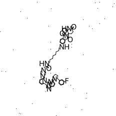 O=C(CN1CCN(c2cccc(-c3cnc4ccc(N5CCCC5c5cccc(F)c5)nn34)n2)CC1)NCCCCCCCCNc1ccc2c(c1)C(=O)N(C1CCC(=O)NC1=O)C2=O